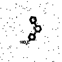 O=C(O)c1ccc(N2CCCC(c3ccccc3)=N2)cc1